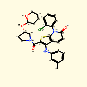 Cc1cccc(Nc2c(C(=O)N3CC[C@H](OC4CCCCO4)C3)sc3c2ccc(=O)n3-c2ccccc2Cl)c1